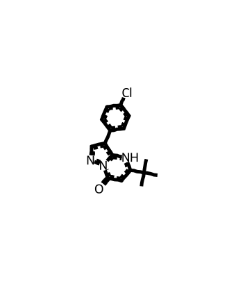 CC(C)(C)c1cc(=O)n2ncc(-c3ccc(Cl)cc3)c2[nH]1